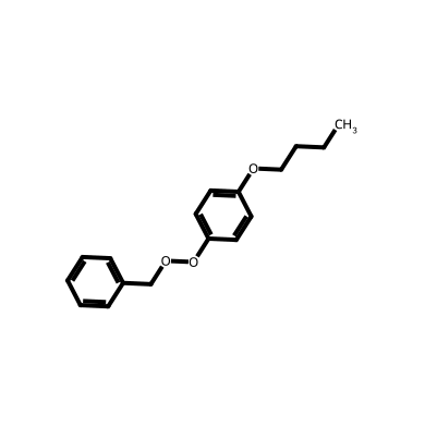 CCCCOc1ccc(OOCc2ccccc2)cc1